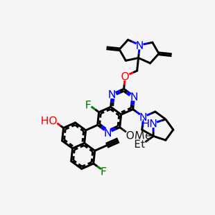 C#Cc1c(F)ccc2cc(O)cc(-c3nc(OC)c4c(N5CC6CCC(CC)(C5)N6)nc(OCC56CC(=C)CN5CC(=C)C6)nc4c3F)c12